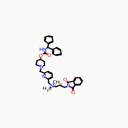 C[N+](C)(CCCN1C(=O)c2ccccc2C1=O)Cc1cccc(CN2CCC(OC(=O)NC(c3ccccc3)c3ccccc3)CC2)n1